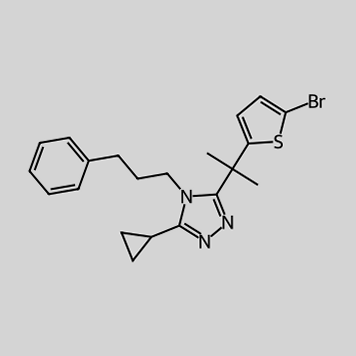 CC(C)(c1ccc(Br)s1)c1nnc(C2CC2)n1CCCc1ccccc1